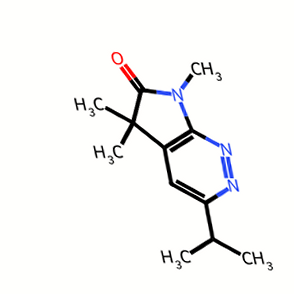 CC(C)c1cc2c(nn1)N(C)C(=O)C2(C)C